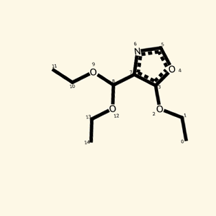 CCOc1ocnc1C(OCC)OCC